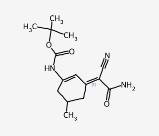 CC1CC(NC(=O)OC(C)(C)C)=C/C(=C(\C#N)C(N)=O)C1